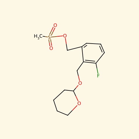 CS(=O)(=O)OCc1cccc(F)c1COC1CCCCO1